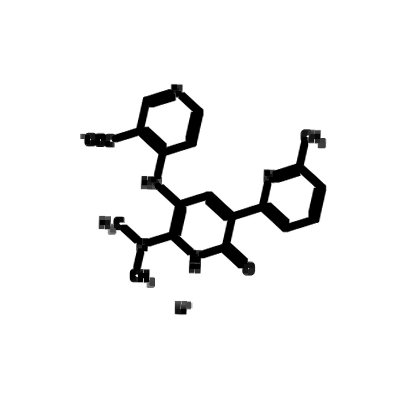 Cc1cccc(-c2cc(Nc3ccncc3C(=O)[O-])c(N(C)C)[nH]c2=O)n1.[Li+]